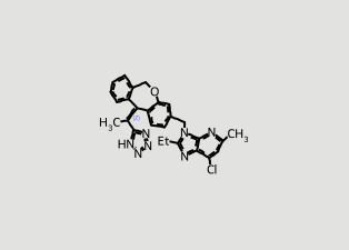 CCc1nc2c(Cl)cc(C)nc2n1Cc1ccc2c(c1)OCc1ccccc1/C2=C(\C)c1nnn[nH]1